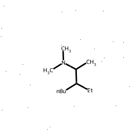 CCCCC(CC)C(C)N(C)C